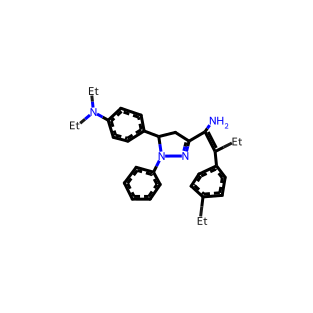 CCC(=C(N)C1=NN(c2ccccc2)C(c2ccc(N(CC)CC)cc2)C1)c1ccc(CC)cc1